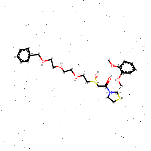 COc1ccccc1OC[C@@H]1SCCN1C(=O)C[S+]([O-])CCOCCOCCOCc1ccccc1